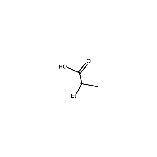 CC[C](C)C(=O)O